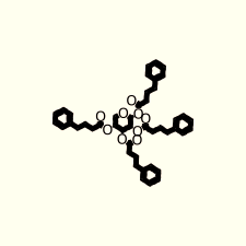 O=C(CCCc1ccccc1)O[C@@H]1OC[C@@H](OC(=O)CCCc2ccccc2)[C@H](OC(=O)CCCc2ccccc2)[C@H]1OC(=O)CCCc1ccccc1